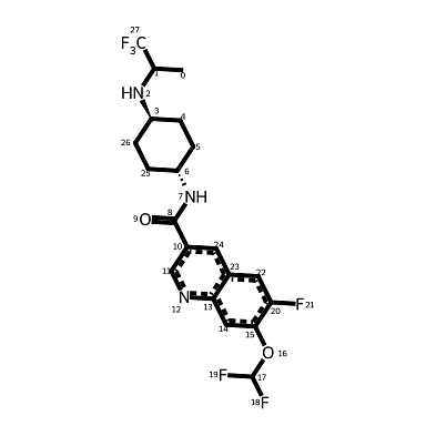 CC(N[C@H]1CC[C@H](NC(=O)c2cnc3cc(OC(F)F)c(F)cc3c2)CC1)C(F)(F)F